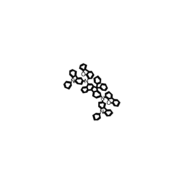 c1ccc(-n2c3ccccc3c3cc(N(c4ccc5c(c4)C(c4ccccc4)(c4ccccc4)c4cc(N(c6ccc7c(c6)c6ccccc6n7-c6ccccc6)c6cccc7c6oc6ccccc67)c6ccccc6c4-5)c4cccc5c4oc4ccccc45)ccc32)cc1